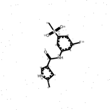 Cc1cc(C(=O)Nc2cc(F)cc(S(C)(=O)=O)c2)c[nH]1